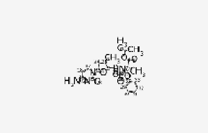 CC(C)OC(=O)[C@H](C)NP(=O)(OC[C@H]1O[C@@H](n2ccc(N)nc2=O)CC1C)Oc1ccccc1